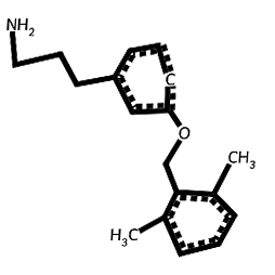 Cc1cccc(C)c1COc1cccc(CCCN)c1